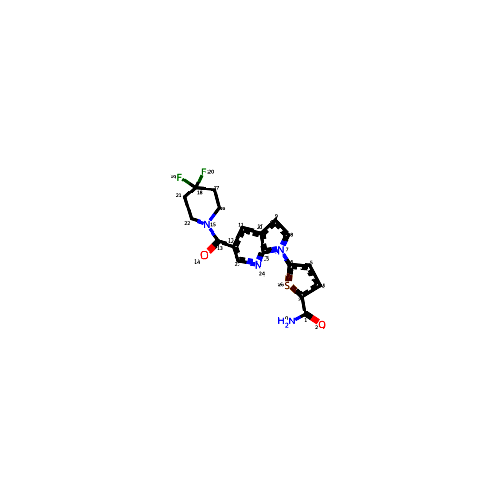 NC(=O)c1ccc(-n2ccc3cc(C(=O)N4CCC(F)(F)CC4)cnc32)s1